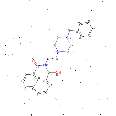 O=C1c2cccc3cccc(c23)C(O)N1CCN1CCN(Cc2ccccc2)CC1